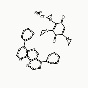 O=C1C=C(N2CC2)C(=O)C(N2CC2)=C1N1CC1.[Cl-].[Cl-].[Ru+2].c1ccc(-c2ccnc3c2ccc2c(-c4ccccc4)ccnc23)cc1